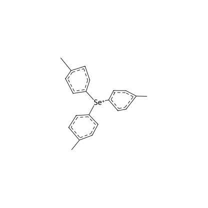 Cc1ccc([Se+](c2ccc(C)cc2)c2ccc(C)cc2)cc1